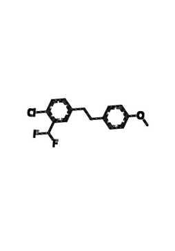 COc1ccc(CCc2ccc(Cl)c(C(F)F)c2)cc1